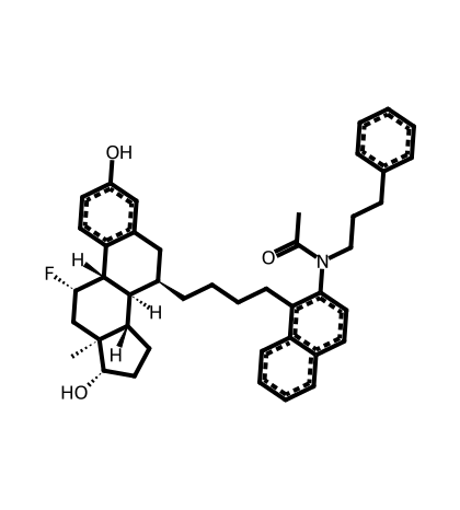 CC(=O)N(CCCc1ccccc1)c1ccc2ccccc2c1CCCC[C@@H]1Cc2cc(O)ccc2[C@@H]2[C@@H]1[C@@H]1CC[C@H](O)[C@@]1(C)C[C@@H]2F